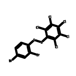 Clc1c(Cl)c(Cl)c(SSc2ccc(Br)cc2Br)c(Cl)c1Cl